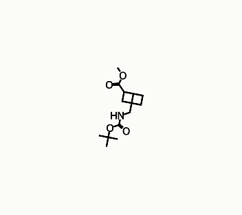 COC(=O)C1CC2(CNC(=O)OC(C)(C)C)CCC12